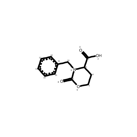 O=C(O)C1CCOC(=O)N1Cc1ccccc1